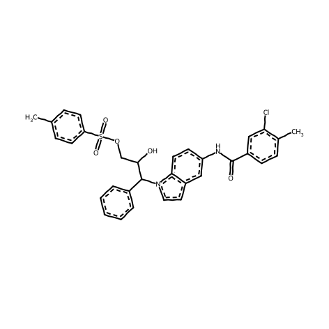 Cc1ccc(S(=O)(=O)OCC(O)C(c2ccccc2)n2ccc3cc(NC(=O)c4ccc(C)c(Cl)c4)ccc32)cc1